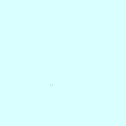 COCCCCCCCc1cccc(I)c1